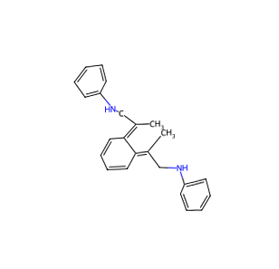 CC(CNc1ccccc1)=c1ccccc1=C(C)CNc1ccccc1